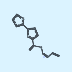 C=C/C=C\SC(=C)c1ccc(-c2cccs2)s1